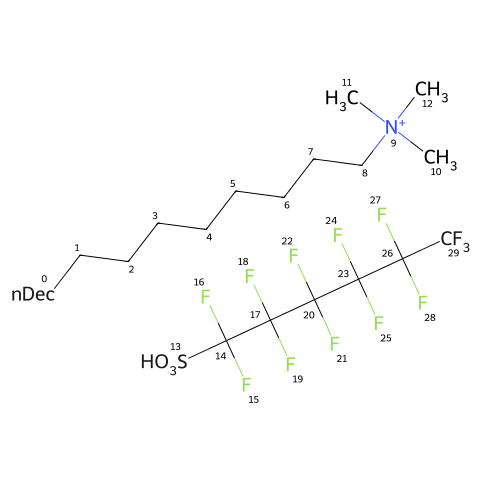 CCCCCCCCCCCCCCCCCC[N+](C)(C)C.O=S(=O)(O)C(F)(F)C(F)(F)C(F)(F)C(F)(F)C(F)(F)C(F)(F)F